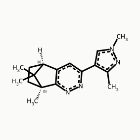 Cc1nn(C)cc1-c1cc2c(nn1)[C@@]1(C)CC[C@@H]2C1(C)C